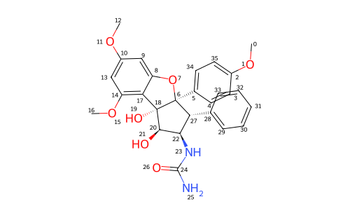 COc1ccc([C@@]23Oc4cc(OC)cc(OC)c4[C@]2(O)[C@H](O)[C@H](NC(N)=O)[C@H]3c2ccccc2)cc1